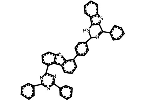 c1ccc(C2=NC(c3ccc(-c4cccc5c4sc4cccc(-c6nc(-c7ccccc7)nc(-c7ccccc7)n6)c45)cc3)Nc3c2sc2ccccc32)cc1